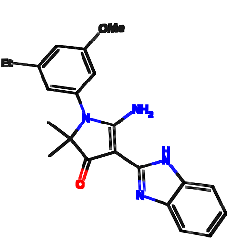 CCc1cc(OC)cc(N2C(N)=C(c3nc4ccccc4[nH]3)C(=O)C2(C)C)c1